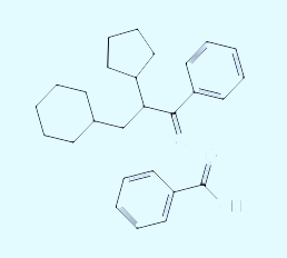 CC(=O)c1ccccc1.O=C(c1ccccc1)C(CC1CCCCC1)C1CCCC1